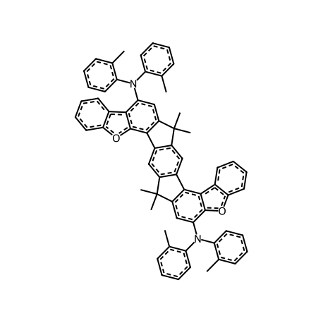 Cc1ccccc1N(c1ccccc1C)c1cc2c(c3c1oc1ccccc13)-c1cc3c(cc1C2(C)C)-c1c(cc(N(c2ccccc2C)c2ccccc2C)c2c1oc1ccccc12)C3(C)C